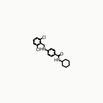 O=C(NC1CCCCC1)c1ccc(NCc2c(Cl)cccc2Cl)cc1